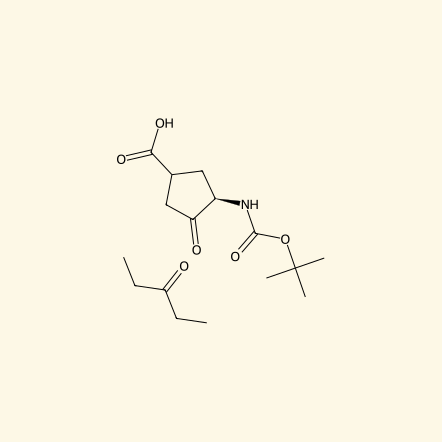 CC(C)(C)OC(=O)N[C@@H]1CC(C(=O)O)CC1=O.CCC(=O)CC